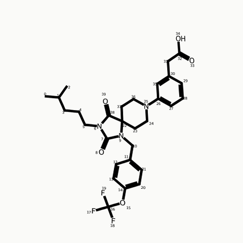 CC(C)CCCN1C(=O)N(Cc2ccc(OC(F)(F)F)cc2)C2(CCN(c3cccc(CC(=O)O)c3)CC2)C1=O